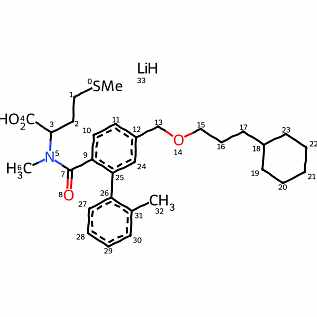 CSCCC(C(=O)O)N(C)C(=O)c1ccc(COCCCC2CCCCC2)cc1-c1ccccc1C.[LiH]